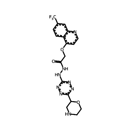 O=C(COc1ccnc2cc(C(F)(F)F)ccc12)NNc1nnc(C2CNCCO2)nn1